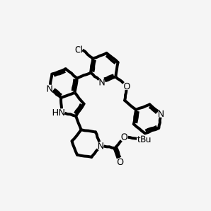 CC(C)(C)OC(=O)N1CCCC(c2cc3c(-c4nc(OCc5cccnc5)ccc4Cl)ccnc3[nH]2)C1